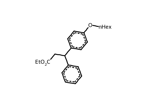 CCCCCCOc1ccc(C(CC(=O)OCC)c2ccccc2)cc1